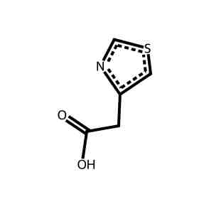 O=C(O)Cc1cscn1